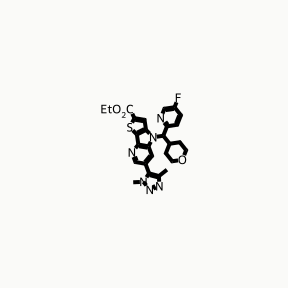 CCOC(=O)c1cc2c(s1)c1ncc(-c3c(C)nnn3C)cc1n2C(c1ccc(F)cn1)C1CCOCC1